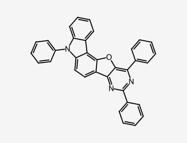 c1ccc(-c2nc(-c3ccccc3)c3oc4c(ccc5c4c4ccccc4n5-c4ccccc4)c3n2)cc1